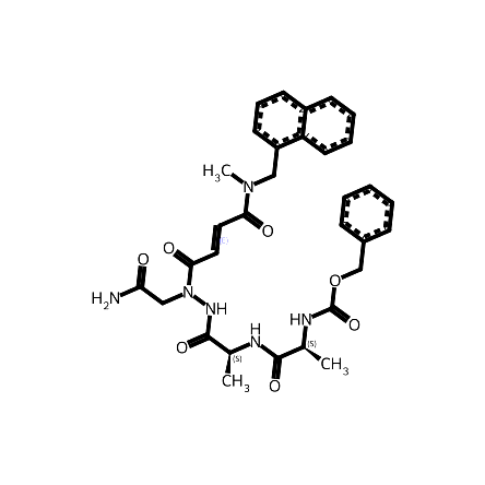 C[C@H](NC(=O)OCc1ccccc1)C(=O)N[C@@H](C)C(=O)NN(CC(N)=O)C(=O)/C=C/C(=O)N(C)Cc1cccc2ccccc12